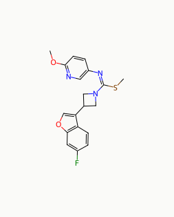 COc1ccc(/N=C(/SC)N2CC(c3coc4cc(F)ccc34)C2)cn1